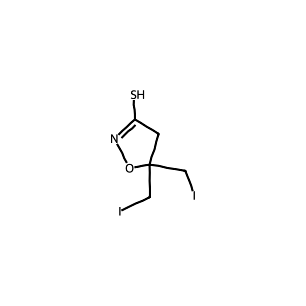 SC1=NOC(CI)(CI)C1